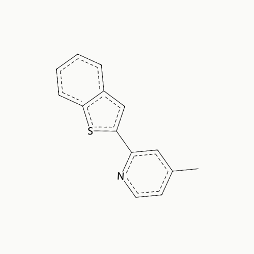 Cc1ccnc(-c2cc3ccccc3s2)c1